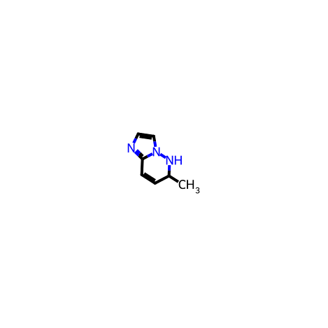 CC1C=Cc2nccn2N1